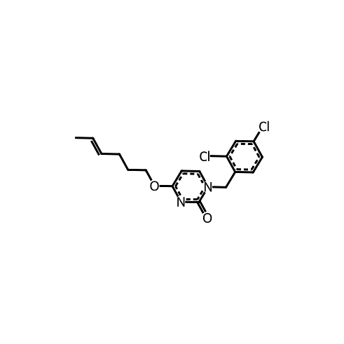 CC=CCCCOc1ccn(Cc2ccc(Cl)cc2Cl)c(=O)n1